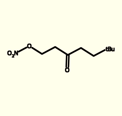 CC(C)(C)CCC(=O)CCO[N+](=O)[O-]